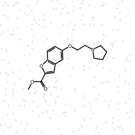 COC(=O)c1cc2cc(OCCN3CCCC3)ccc2o1